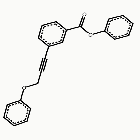 O=C(Oc1ccccc1)c1cccc(C#CCOc2ccccc2)c1